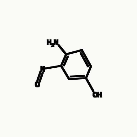 Nc1ccc(O)cc1N=O